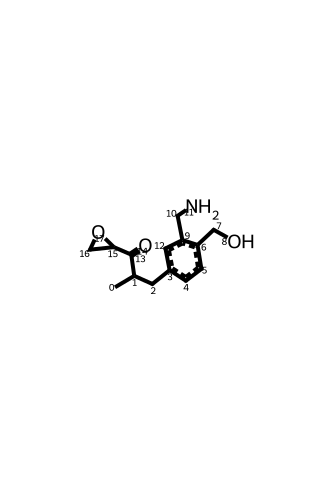 CC(Cc1ccc(CO)c(CN)c1)C(=O)C1CO1